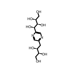 OC[C@H](O)[C@@H](O)[C@H](O)c1cnc(C[C@H](O)[C@@H](O)CO)cn1